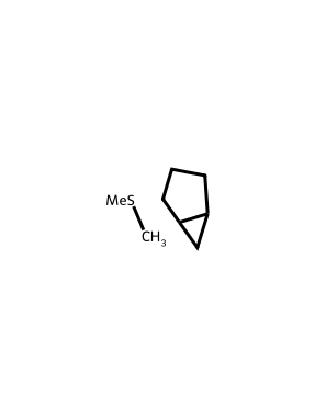 C1CC2CC2C1.CSC